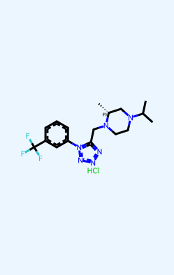 CC(C)N1CCN(Cc2nnnn2-c2cccc(C(F)(F)F)c2)[C@H](C)C1.Cl